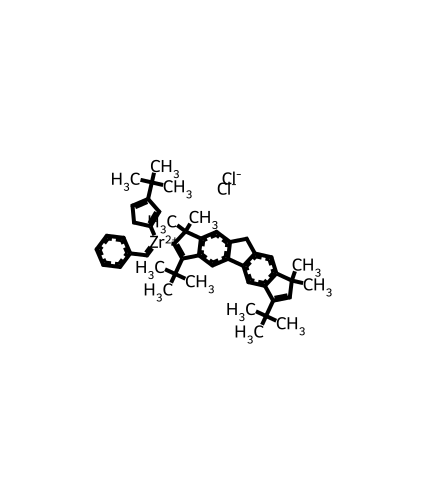 CC(C)(C)C1=CC[C]([Zr+2](=[CH]c2ccccc2)[C]2=C(C(C)(C)C)c3cc4c(cc3C2(C)C)Cc2cc3c(cc2-4)C(C(C)(C)C)=CC3(C)C)=C1.[Cl-].[Cl-]